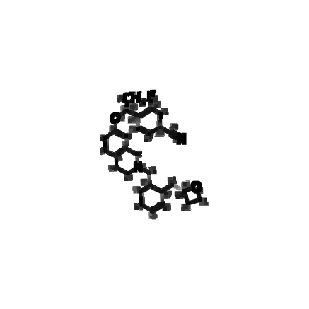 C[C@H](Oc1ccc2c(c1)CN(CC1C=CC=CC1C[C@H]1CCO1)CC2)c1ccc(C#N)cc1F